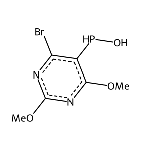 COc1nc(Br)c(PO)c(OC)n1